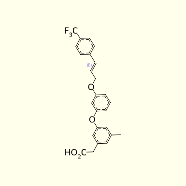 Cc1cc(CC(=O)O)cc(Oc2cccc(OC/C=C/c3ccc(C(F)(F)F)cc3)c2)c1